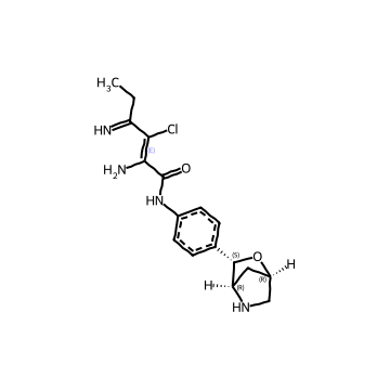 CCC(=N)/C(Cl)=C(\N)C(=O)Nc1ccc([C@@H]2O[C@H]3CN[C@@H]2C3)cc1